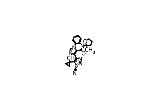 CC1(c2c(-c3ncn4c3c(=O)n(C3(C)CCCO3)c3ccccc34)nnn2C#N)CC1